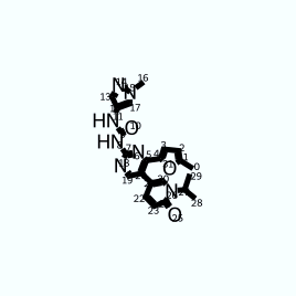 Cc1ccc(-c2nc(NC(=O)Nc3cnn(C)c3)ncc2-c2ccc(=O)n(C(C)C)c2)o1